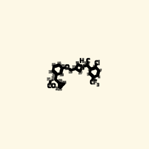 CC(c1cc(C(F)(F)F)ccc1Cl)N1CC(COc2cccc([C@@H](CC(=O)O)C3CC3)c2)C1